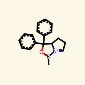 CB1OC(c2ccccc2)(c2ccccc2)C2CCC=[N+]12